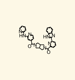 O=C(c1ccnc(Nc2ccccn2)c1)N1CC2CN(C(=O)c3cccc(-c4nc5ccccc5[nH]4)n3)CC2C1